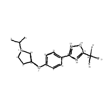 CC(C)N1CCC(Oc2ccc(-c3noc(C(F)(F)F)n3)cc2)C1